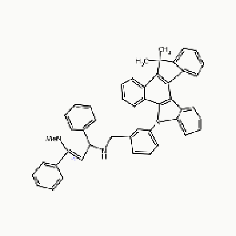 CN/C(=C\C(NCc1cccc(-n2c3ccccc3c3c4c(c5ccccc5c32)C(C)(C)c2ccccc2-4)c1)c1ccccc1)c1ccccc1